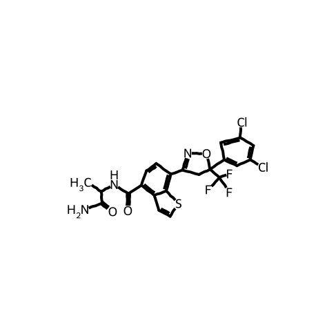 CC(NC(=O)c1ccc(C2=NOC(c3cc(Cl)cc(Cl)c3)(C(F)(F)F)C2)c2sccc12)C(N)=O